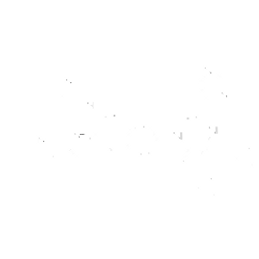 CCOC(=O)N[C@@H](CF)C(=O)N[C@@H](C(=O)N1CCN(C)CC1)[C@@H](C)c1ccc(NC(=O)[C@@H](NC(=O)c2nonc2C)C(C2CC2)C2CC2)c(F)c1